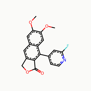 COc1cc2cc3c(c(-c4ccnc(F)c4)c2cc1OC)C(=O)OC3